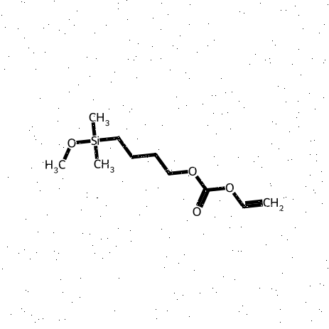 C=COC(=O)OCCCC[Si](C)(C)OC